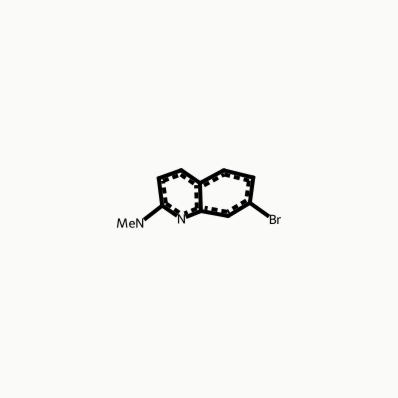 CNc1ccc2ccc(Br)cc2n1